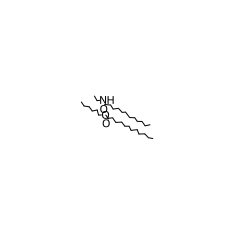 CCCCCCCCCCCC(=O)NCC.CCCCCCCCCCCC(=O)OCCCCCC